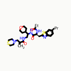 C=C(CN1CCSCC1)C(=O)NCC(NC(=O)[C@H](Cc1nc2ccc(C(C)C)cc2s1)NC(=O)CC)C1CCOCC1